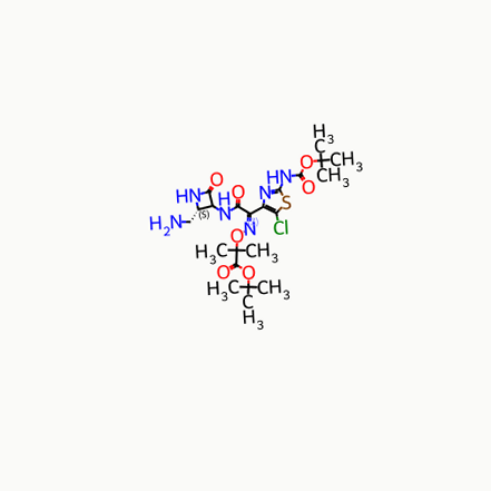 CC(C)(C)OC(=O)Nc1nc(/C(=N/OC(C)(C)C(=O)OC(C)(C)C)C(=O)NC2C(=O)N[C@H]2CN)c(Cl)s1